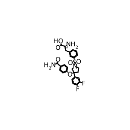 NC(=O)c1ccc(OC2(c3ccc(F)c(F)c3)CCN(S(=O)(=O)c3cccc(C[C@H](N)C(=O)O)c3)C2)cc1